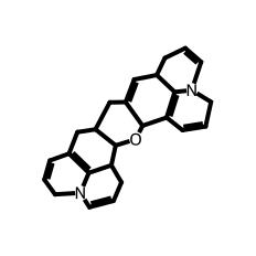 C1=CN2CC=CC3=C2C(C=C2CC4CC5=C6C(CC=CN6CC=C5)C4OC23)C1